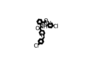 O=C(Nc1ccc(Cl)cn1)c1ccccc1NC(=O)C1CCN(Cc2ccc(Cl)cc2)CC1